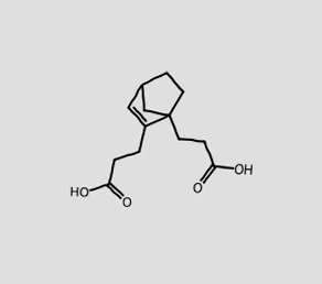 O=C(O)CCC1=CC2CCC1(CCC(=O)O)C2